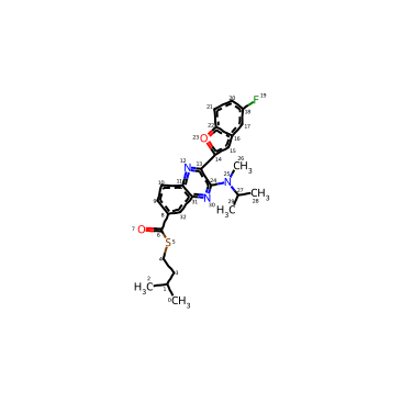 CC(C)CCSC(=O)c1ccc2nc(-c3cc4cc(F)ccc4o3)c(N(C)C(C)C)nc2c1